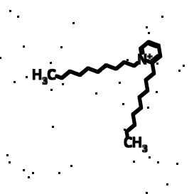 CCCCCCCCCC[n+]1ccccc1CCCCCCCCC